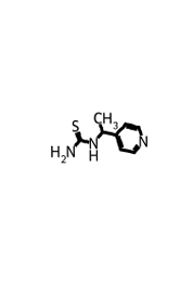 CC(NC(N)=S)c1ccncc1